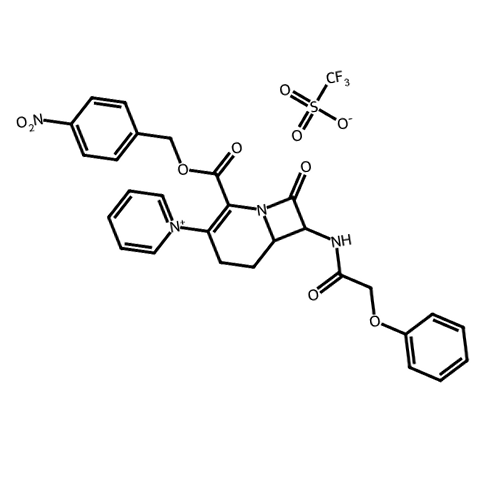 O=C(COc1ccccc1)NC1C(=O)N2C(C(=O)OCc3ccc([N+](=O)[O-])cc3)=C([n+]3ccccc3)CCC12.O=S(=O)([O-])C(F)(F)F